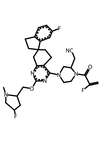 C=C(F)C(=O)N1CCN(c2nc(OCC3CC(F)CN3C)nc3c2CCC2(CCc4ccc(F)cc42)C3)CC1CC#N